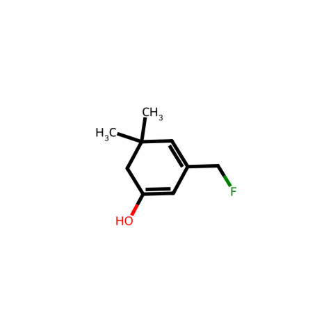 CC1(C)C=C(CF)C=C(O)C1